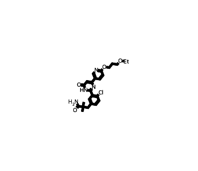 CCOCCCOc1ccc(-c2cc(=O)[nH]c(-c3cc(CC(C)(C)C(N)=O)ccc3Cl)n2)cn1